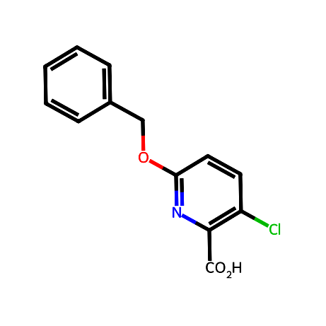 O=C(O)c1nc(OCc2ccccc2)ccc1Cl